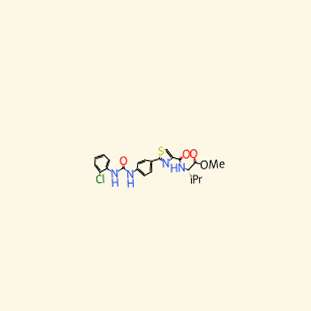 COC(=O)[C@@H](NC(=O)c1csc(-c2ccc(NC(=O)Nc3ccccc3Cl)cc2)n1)C(C)C